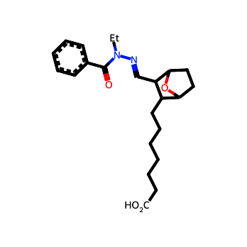 CCN(N=CC1C2CCC(O2)C1CCCCCCC(=O)O)C(=O)c1ccccc1